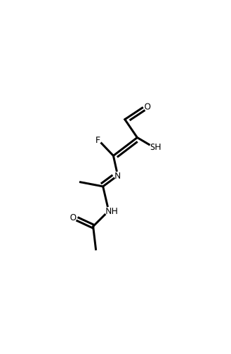 CC(=O)N/C(C)=N/C(F)=C(\S)C=O